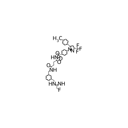 Cc1ccc(-c2cc(C(F)(F)F)nn2-c2ccc(S(=O)(=O)NC(=O)CCC(=O)NCc3cccc(CNC(=N)CF)c3)cc2)cc1